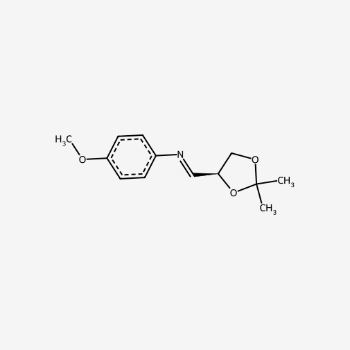 COc1ccc(N=C[C@H]2COC(C)(C)O2)cc1